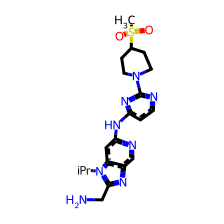 CC(C)n1c(CN)nc2cnc(Nc3ccnc(N4CCC(S(C)(=O)=O)CC4)n3)cc21